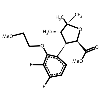 COCCOc1c([C@H]2[C@H](C(=O)OC)O[C@@](C)(C(F)(F)F)[C@H]2C)ccc(F)c1F